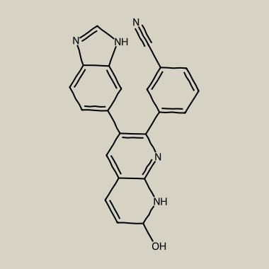 N#Cc1cccc(-c2nc3c(cc2-c2ccc4nc[nH]c4c2)C=CC(O)N3)c1